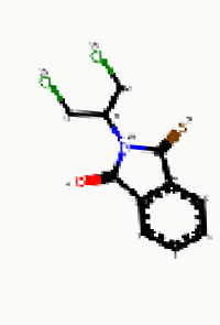 O=C1c2ccccc2C(=S)N1C(CCl)CCl